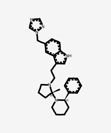 C[C@@]1(N2CCCC[C@@H]2c2ccccc2)CCCN1CCc1c[nH]c2ccc(Cn3cncn3)cc12